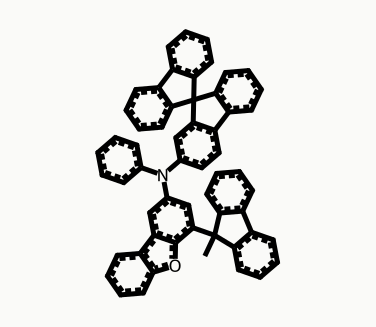 CC1(c2cc(N(c3ccccc3)c3ccc4c(c3)C3(c5ccccc5-c5ccccc53)c3ccccc3-4)cc3c2oc2ccccc23)c2ccccc2-c2ccccc21